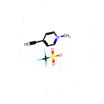 C#Cc1cc[n+](C)cc1.O=S(=O)([O-])C(F)(F)F